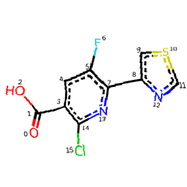 O=C(O)c1cc(F)c(-c2cscn2)nc1Cl